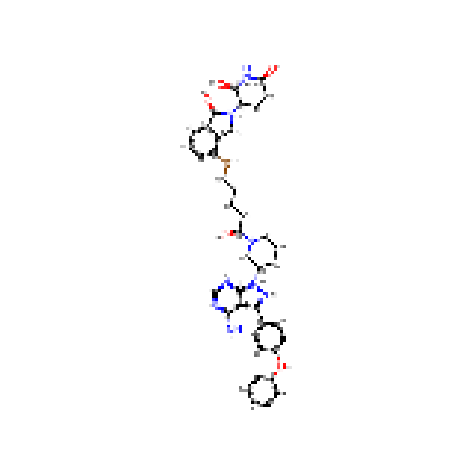 Nc1ncnc2c1c(-c1ccc(Oc3ccccc3)cc1)nn2C1CCCN(C(=O)CCCCSc2cccc3c2CN(C2CCC(=O)NC2=O)C3=O)C1